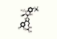 COc1ccc(OC(F)(F)F)cc1NC(=NC#N)N1CC(CCNC(=O)O)C(c2ccc(Cl)c(Cl)c2)=N1